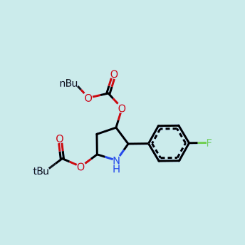 CCCCOC(=O)OC1CC(OC(=O)C(C)(C)C)NC1c1ccc(F)cc1